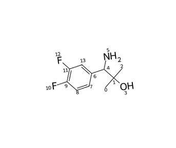 CC(C)(O)C(N)c1ccc(F)c(F)c1